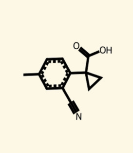 Cc1ccc(C2(C(=O)O)CC2)c(C#N)c1